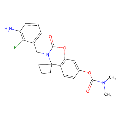 CN(C)C(=O)Oc1ccc2c(c1)OC(=O)N(Cc1cccc(N)c1F)C21CCC1